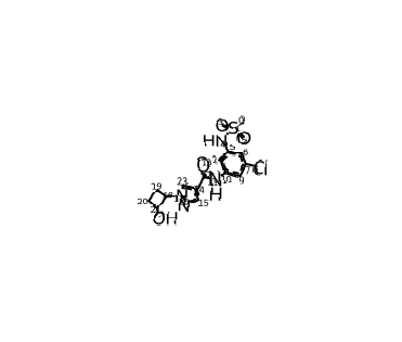 CS(=O)(=O)Nc1cc(Cl)cc(NC(=O)c2cnn(C3CCC3O)c2)c1